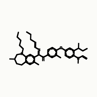 C=CN(C)c1ccc(Oc2ccc(N/C(=N/C=C/CCC)c3cc4c(cc3C)CCC(C)CN4CCCCC)cc2C)cc1C(C)CC